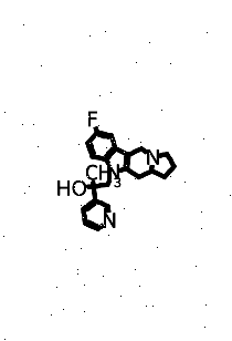 CC(O)(Cn1c2c(c3cc(F)ccc31)CN1CCCC1C2)c1cccnc1